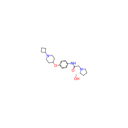 O=C(CN1CCC[C@@H]1CO)Nc1ccc(OC2CCN(C3CCC3)CC2)cc1